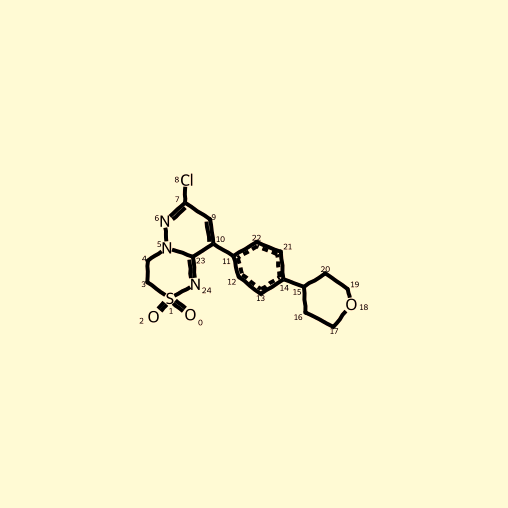 O=S1(=O)CCN2N=C(Cl)C=C(c3ccc(C4CCOCC4)cc3)C2=N1